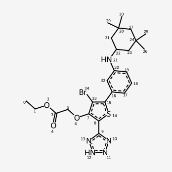 CCOC(=O)COc1c(-c2nn[nH]n2)sc(-c2cccc(NC3CC(C)(C)CC(C)(C)C3)c2)c1Br